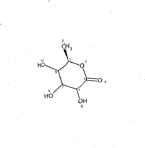 C[C@H]1OC(=O)C(O)C(O)C1O